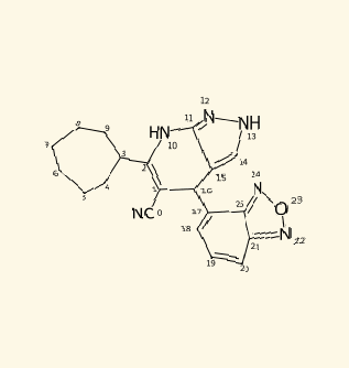 N#CC1=C(C2CCCCCC2)Nc2n[nH]cc2C1c1cccc2nonc12